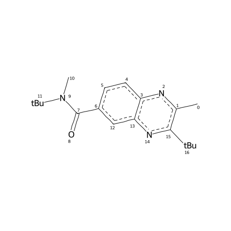 Cc1nc2ccc(C(=O)N(C)C(C)(C)C)cc2nc1C(C)(C)C